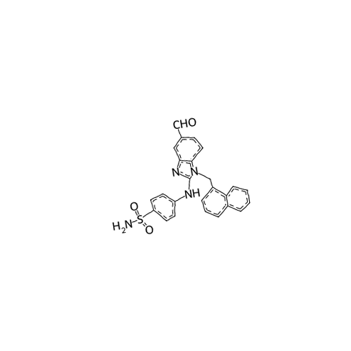 NS(=O)(=O)c1ccc(Nc2nc3cc(C=O)ccc3n2Cc2cccc3ccccc23)cc1